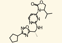 CC(C)C1COC(=O)N1c1ccnc(N[C@H](C)c2nc(C3CCCC3)no2)n1